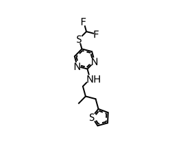 CC(CNc1ncc(SC(F)F)cn1)Cc1cccs1